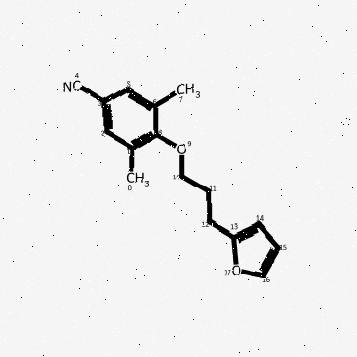 Cc1cc(C#N)cc(C)c1OCCCc1ccco1